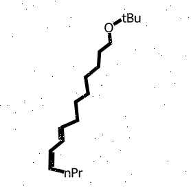 CCC/C=C\C=C\CCCCCCCOC(C)(C)C